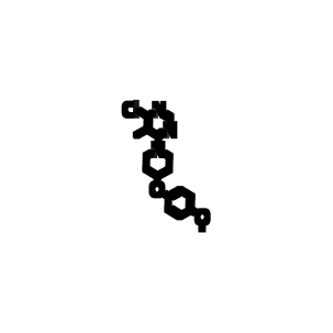 COc1ccc(OC2CCN(c3ncnc(Cl)c3C)CC2)cc1